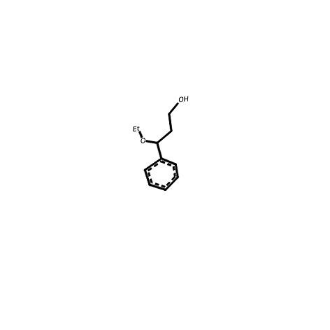 CCOC(CCO)c1ccccc1